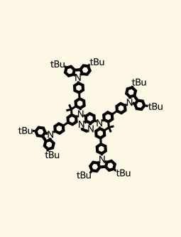 CC(C)(C)c1ccc2c(c1)c1cc(C(C)(C)C)ccc1n2-c1ccc(-c2ccc3c(c2)C(C)(C)c2cc(-c4ccc(-n5c6ccc(C(C)(C)C)cc6c6cc(C(C)(C)C)ccc65)cc4)ccc2N3c2ccc(N3c4ccc(-c5ccc(-n6c7ccc(C(C)(C)C)cc7c7cc(C(C)(C)C)ccc76)cc5)cc4C(C)(C)c4cc(-c5ccc(-n6c7ccc(C(C)(C)C)cc7c7cc(C(C)(C)C)ccc76)cc5)ccc43)c3nccnc23)cc1